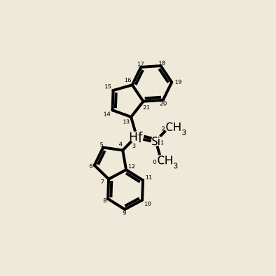 C[Si](C)=[Hf]([CH]1C=Cc2ccccc21)[CH]1C=Cc2ccccc21